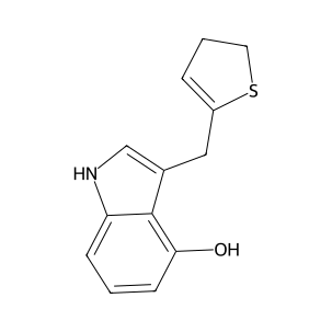 Oc1cccc2[nH]cc(CC3=CCCS3)c12